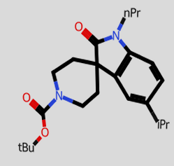 CCCN1C(=O)C2(CCN(C(=O)OC(C)(C)C)CC2)c2cc(C(C)C)ccc21